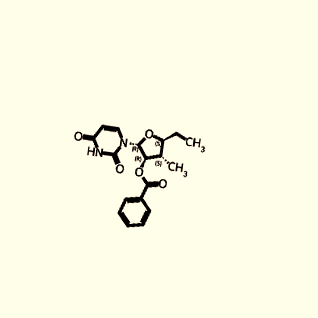 CC[C@@H]1O[C@@H](n2ccc(=O)[nH]c2=O)[C@H](OC(=O)c2ccccc2)[C@H]1C